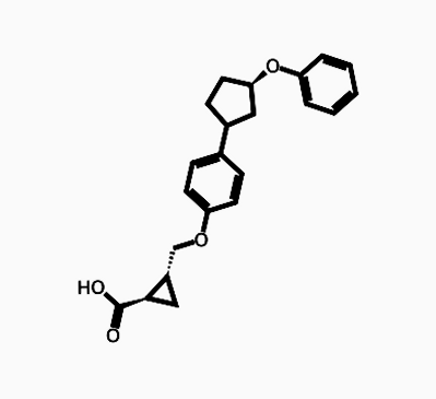 O=C(O)[C@@H]1C[C@H]1COc1ccc(C2CC[C@@H](Oc3ccccc3)C2)cc1